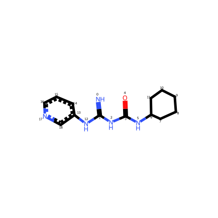 N=C(NC(=O)NC1CCCCC1)Nc1cccnc1